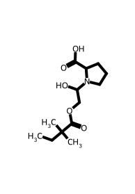 CCC(C)(C)C(=O)OCC(O)N1CCCC1C(=O)O